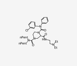 CCCCCN(CCCCC)C(=O)N1CCN(C(=O)N(c2ccccc2)c2cccc(Cl)c2)C(C(=O)NCCN(CC)CC)C1